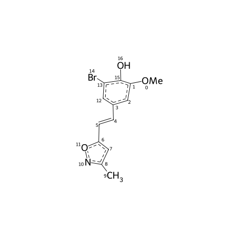 COc1cc(C=Cc2cc(C)no2)cc(Br)c1O